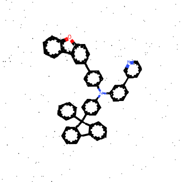 c1ccc(C2(c3ccc(N(c4ccc(-c5ccc6oc7ccccc7c6c5)cc4)c4cccc(-c5cccnc5)c4)cc3)c3ccccc3-c3ccccc32)cc1